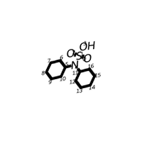 O=S(=O)(O)N(C1CCCCC1)C1CCCCC1